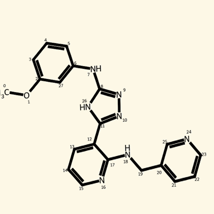 COc1cccc(Nc2nnc(-c3cccnc3NCc3cccnc3)[nH]2)c1